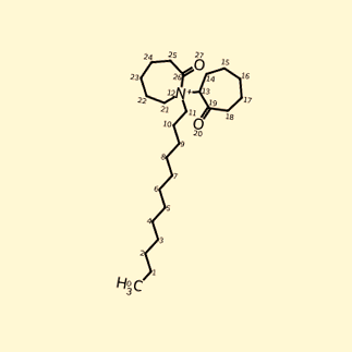 CCCCCCCCCCCC[N+]1(C2CCCCCC2=O)CCCCCC1=O